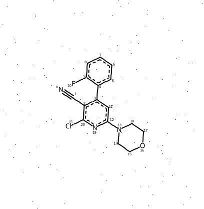 N#Cc1c(-c2ccccc2F)cc(N2CCOCC2)nc1Cl